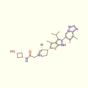 Cc1c(-c2[nH]c3sc([C@@H]4CC5C[C@H]4CN5CC(=O)N[C@H]4C[C@@H](O)C4)c(C)c3c2C(C)C)cn2ncnc2c1C